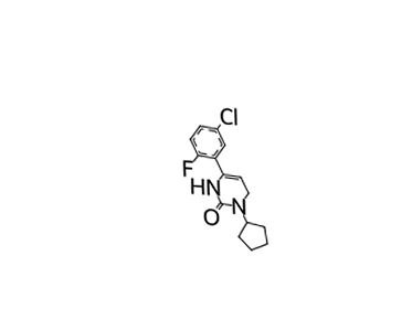 O=C1NC(c2cc(Cl)ccc2F)=CCN1C1CCCC1